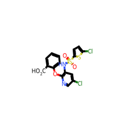 O=C(O)c1ccccc1Oc1ncc(Cl)cc1NS(=O)(=O)c1ccc(Cl)s1